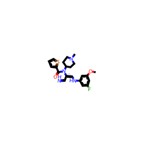 COc1cc(F)cc(N/C=C(\C=N)N(C(=O)c2cccs2)C2CCN(C)CC2)c1